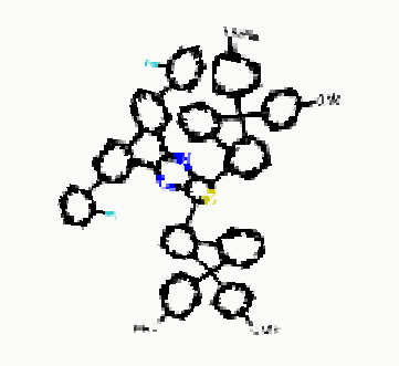 COc1ccc(C2(c3ccc(OC)cc3)c3ccccc3-c3c(-c4sc(-c5cccc6c5-c5ccccc5C6(c5ccc(OC)cc5)c5ccc(OC)cc5)c5nc6c7cc(-c8ccccc8F)ccc7c7ccc(-c8ccccc8F)cc7c6nc45)cccc32)cc1